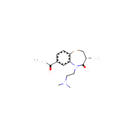 COC(=O)c1ccc2c(c1)N(CCN(C)C)C(=O)[C@H](OC(C)=O)CS2